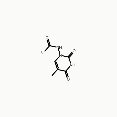 Cc1cn(NC(=O)Cl)c(=O)[nH]c1=O